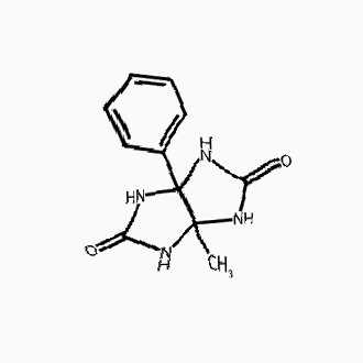 CC12NC(=O)NC1(c1ccccc1)NC(=O)N2